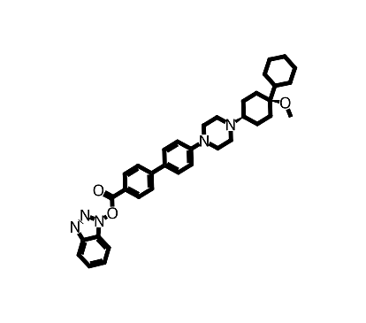 CO[C@]1(C2CCCCC2)CC[C@H](N2CCN(c3ccc(-c4ccc(C(=O)On5nnc6ccccc65)cc4)cc3)CC2)CC1